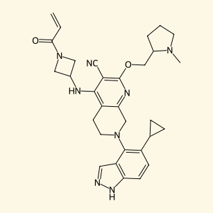 C=CC(=O)N1CC(Nc2c(C#N)c(OCC3CCCN3C)nc3c2CCN(c2c(C4CC4)ccc4[nH]ncc24)C3)C1